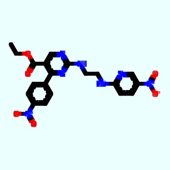 CCOC(=O)c1cnc(NCCNc2ccc([N+](=O)[O-])cn2)nc1-c1ccc([N+](=O)[O-])cc1